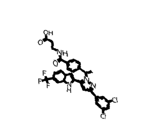 CC(c1ccc(C(=O)NCCC(=O)O)cc1)n1nc(-c2cc(Cl)cc(Cl)c2)cc1C1=CC2C=CC(C(F)(F)F)=CC2N1